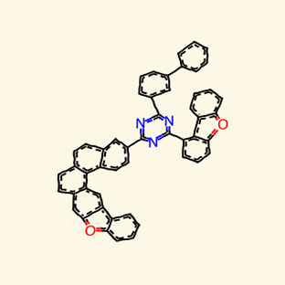 c1ccc(-c2cccc(-c3nc(-c4ccc5c(ccc6ccc7cc8oc9ccccc9c8cc7c65)c4)nc(-c4cccc5oc6ccccc6c45)n3)c2)cc1